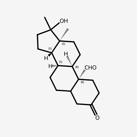 CC1(O)CC[C@H]2[C@@H]3CCC4CC(=O)CC[C@]4(C=O)[C@@H]3CC[C@@]21C